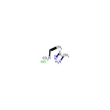 C=CC(=O)O.CN.CN.Cl